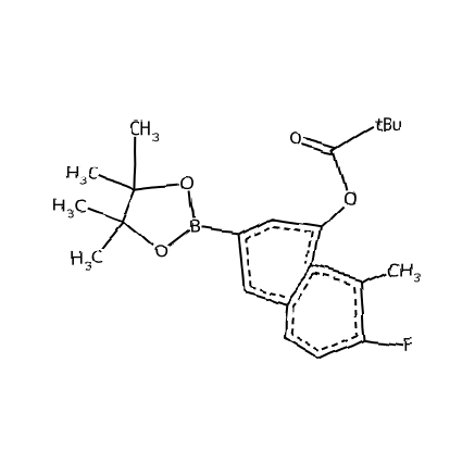 Cc1c(F)ccc2cc(B3OC(C)(C)C(C)(C)O3)cc(OC(=O)C(C)(C)C)c12